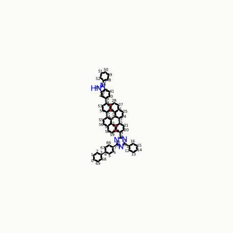 c1ccc(-c2ccc(-c3nc(-c4ccccc4)nc(-c4ccc(-c5ccc6ccccc6c5-c5c(-c6ccc(-c7ccc8c(c7)[nH]n8-c7ccccc7)cc6)ccc6ccccc56)cc4)n3)cc2)cc1